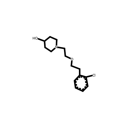 OC1CCN(CCOCCc2ccccc2Cl)CC1